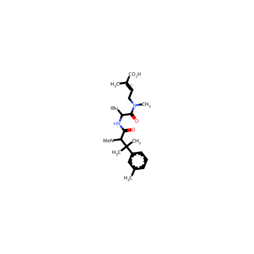 CNC(C(=O)NC(C(=O)N(C)C/C=C(\C)C(=O)O)C(C)(C)C)C(C)(C)c1cccc(C)c1